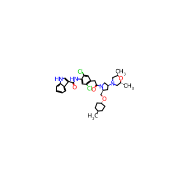 C[C@@H]1CN([C@H]2C[C@@H](CO[C@H]3CC[C@H](C)CC3)N(C(=O)Cc3cc(Cl)c(NC(=O)c4c[nH]c5ccccc45)cc3Cl)C2)C[C@H](C)O1